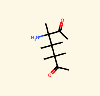 CC(=O)C(C)(C)C(C)(C)C(C)(N)C(C)=O